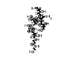 CC(C)(COP(=O)(O)OP(=O)(O)OC[C@H]1O[C@@H](n2c(C(=O)[C@H](O)C(C)(C)CO)nc3c(N)nc(C(=O)[C@H](O)C(C)(C)CO)nc32)[C@H](O)[C@@H]1OP(=O)(O)O)[C@@H](O)C(=O)NCCC(=O)NCCS